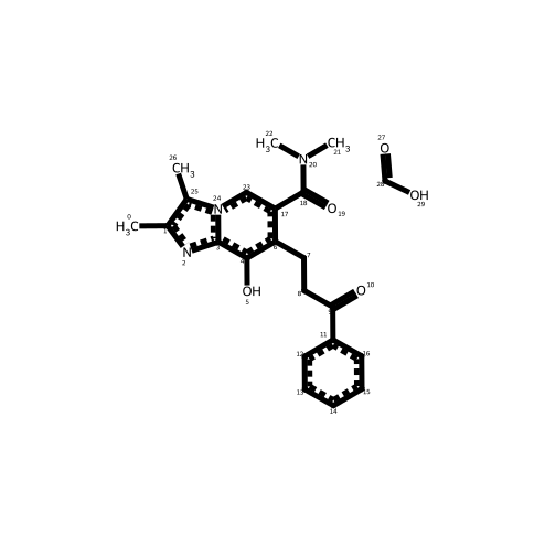 Cc1nc2c(O)c(CCC(=O)c3ccccc3)c(C(=O)N(C)C)cn2c1C.O=CO